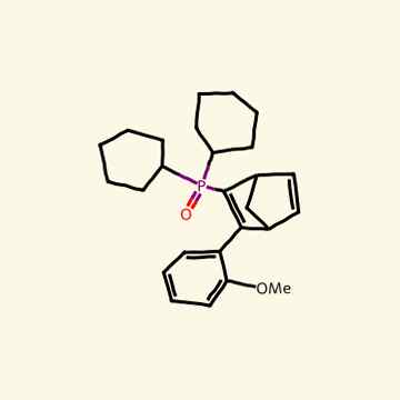 COc1ccccc1C1=C(P(=O)(C2CCCCC2)C2CCCCC2)C2C=CC1C2